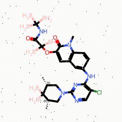 BC(B)(B)NC(=O)C(B)(B)Oc1cc2cc(Nc3nc(N4C[C@@H](C)C(B)(B)[C@@H](C)C4)ncc3Cl)ccc2n(C)c1=O